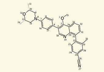 COc1c(-c2ccc(N3C[C@@H](C)O[C@@H](C)C3)cc2)cnc2c(-c3ccc(C#N)cc3C)cccc12